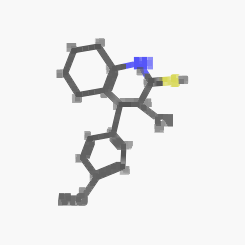 COc1ccc(-c2c3c([nH]c(=S)c2C#N)CCCC3)cc1